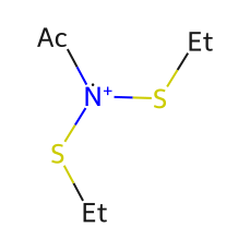 CCS[N+](SCC)C(C)=O